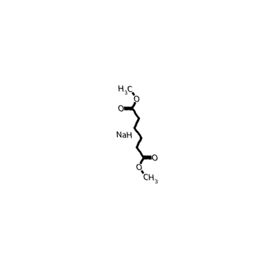 COC(=O)CCCCC(=O)OC.[NaH]